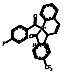 NC(=O)C1C=Cc2ccccc2[N+]1(C(=O)c1ccc(F)cc1)C(=O)c1ccc(C(F)(F)F)cc1